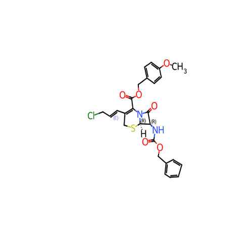 COc1ccc(COC(=O)C2=C(/C=C/CCl)CS[C@@H]3[C@H](NC(=O)OCc4ccccc4)C(=O)N23)cc1